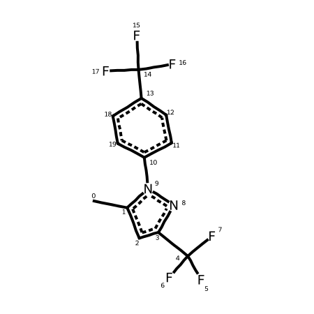 Cc1cc(C(F)(F)F)nn1-c1ccc(C(F)(F)F)cc1